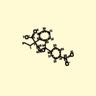 CCC([N+]#N)(C(=O)[O-])c1ccccc1C(=O)c1ccc([N+](=O)[O-])cc1